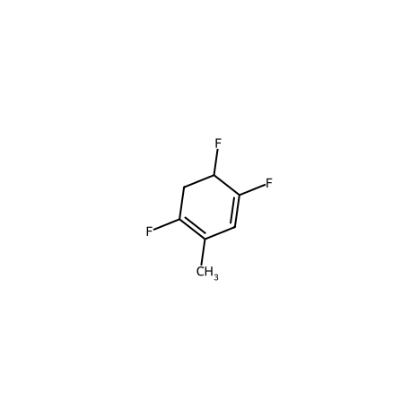 CC1=C(F)CC(F)C(F)=C1